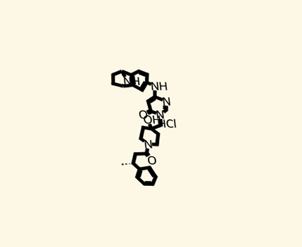 C[C@H](CC(=O)N1CCC(O)(Cn2cnc(Nc3ccc4c(c3)C3CCC4N3)cc2=O)CC1)c1ccccc1.Cl